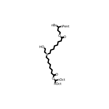 CCCCCCCCC(CCCCCCCC)OC(=O)CCCCCCCN(CCO)CCCCCCCC(=O)OCCC(CCCC)CCCCC